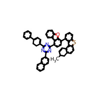 CC1C=Cc2c(ccc3sc4cccc(-c5ccc(-c6nc(C7=CC=C(c8ccccc8)CC7)nc(-c7ccc8ccccc8c7)n6)c6c5oc5ccccc56)c4c23)C1